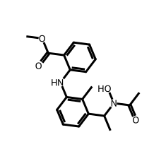 COC(=O)c1ccccc1Nc1cccc(C(C)N(O)C(C)=O)c1C